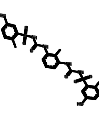 Cc1ccc(O)cc1S(=O)(=O)NC(=O)Nc1cccc(NC(=O)NS(=O)(=O)c2cc(O)ccc2C)c1C